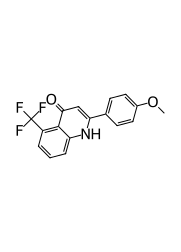 COc1ccc(-c2cc(=O)c3c(C(F)(F)F)cccc3[nH]2)cc1